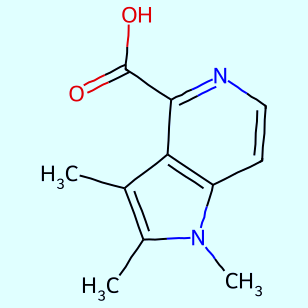 Cc1c(C)n(C)c2ccnc(C(=O)O)c12